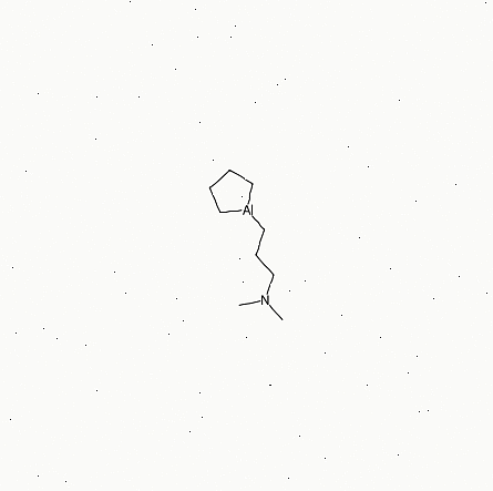 CN(C)CC[CH2][Al]1[CH2]CC[CH2]1